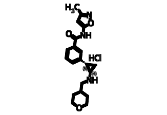 Cc1cc(NC(=O)c2cccc([C@@H]3C[C@H]3NCC3CCOCC3)c2)on1.Cl